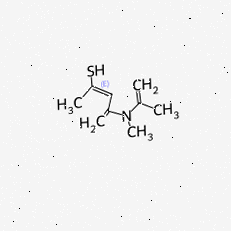 C=C(C)N(C)C(=C)/C=C(\C)S